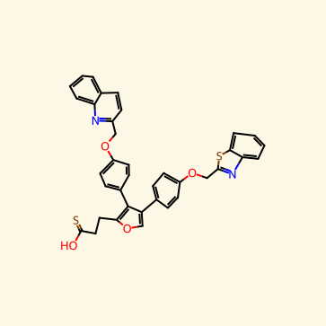 OC(=S)CCc1occ(-c2ccc(OCc3nc4ccccc4s3)cc2)c1-c1ccc(OCc2ccc3ccccc3n2)cc1